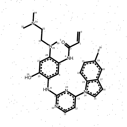 C=CC(=O)Nc1cc(Nc2nccc(-n3ccc4cc(F)ccc43)n2)c(O)cc1N(C)CCN(C)C